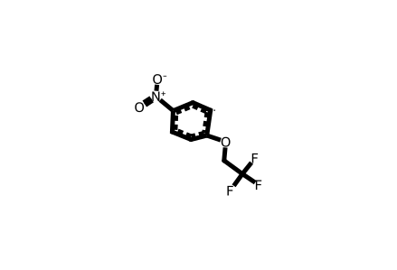 O=[N+]([O-])c1c[c]c(OCC(F)(F)F)cc1